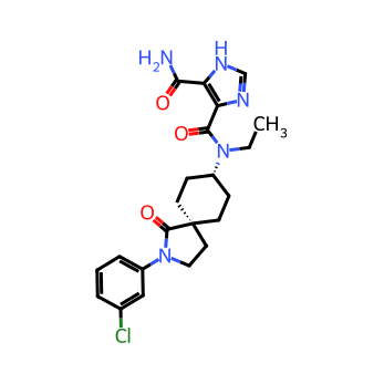 CCN(C(=O)c1nc[nH]c1C(N)=O)[C@H]1CC[C@@]2(CCN(c3cccc(Cl)c3)C2=O)CC1